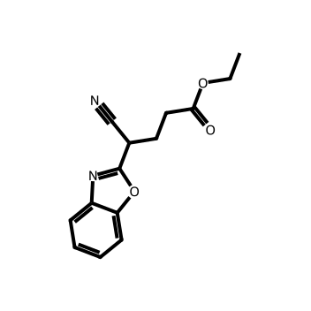 CCOC(=O)CCC(C#N)c1nc2ccccc2o1